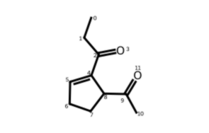 CCC(=O)C1=CCCC1C(C)=O